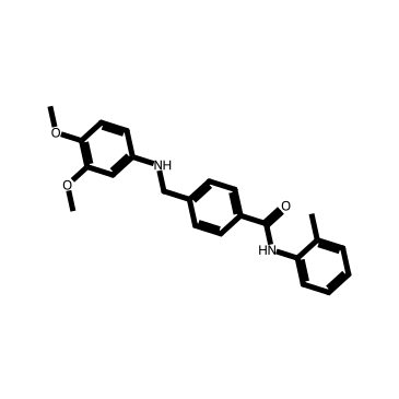 COc1ccc(NCc2ccc(C(=O)Nc3ccccc3C)cc2)cc1OC